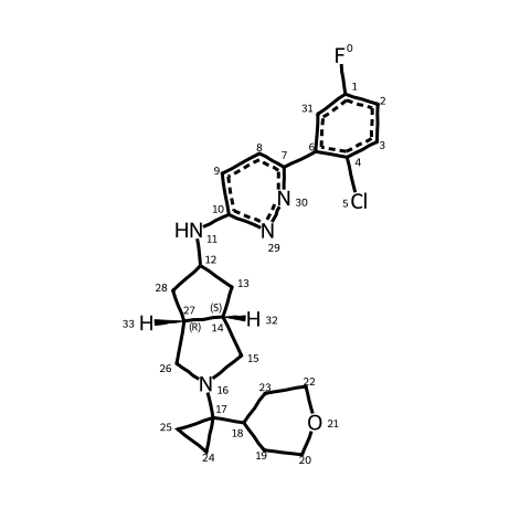 Fc1ccc(Cl)c(-c2ccc(NC3C[C@@H]4CN(C5(C6CCOCC6)CC5)C[C@@H]4C3)nn2)c1